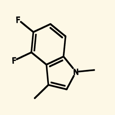 Cc1cn(C)c2ccc(F)c(F)c12